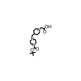 CC(C)(C)OC(=O)N1CCN(CC2CCN(CC(=O)O)CC2)CC1